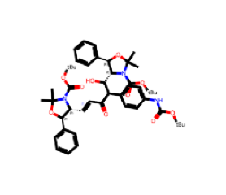 CC(C)(C)OC(=O)Nc1ccc(C(C(=O)/C=C/[C@@H]2[C@@H](c3ccccc3)OC(C)(C)N2C(=O)OC(C)(C)C)C(O)[C@@H]2[C@@H](c3ccccc3)OC(C)(C)N2C(=O)OC(C)(C)C)cc1